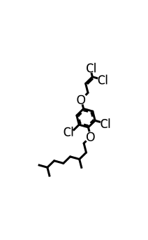 CC(C)CCCC(C)CCOc1c(Cl)cc(OCC=C(Cl)Cl)cc1Cl